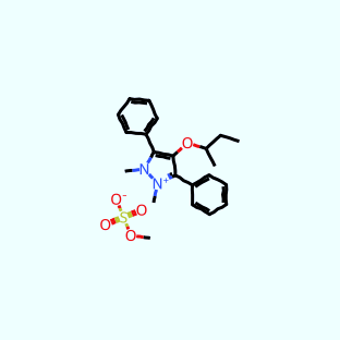 CCC(C)Oc1c(-c2ccccc2)n(C)[n+](C)c1-c1ccccc1.COS(=O)(=O)[O-]